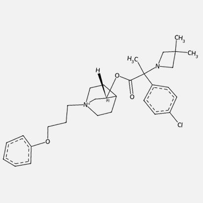 CC1(C)CN(C(C)(C(=O)O[C@H]2C[N+]3(CCCOc4ccccc4)CCC2CC3)c2ccc(Cl)cc2)C1